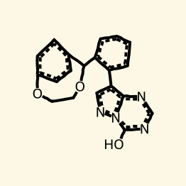 Oc1ncnc2c(-c3ccccc3C3OCCOc4ccc3cc4)cnn12